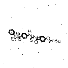 CCCCC(C)Oc1ccc(C(=O)NC(=S)Nc2ccc(S(=O)(=O)N(CC)c3ccccc3)cc2)cc1